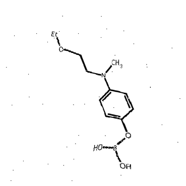 CCOCCN(C)c1ccc(OB(O)O)cc1